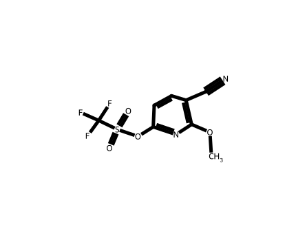 COc1nc(OS(=O)(=O)C(F)(F)F)ccc1C#N